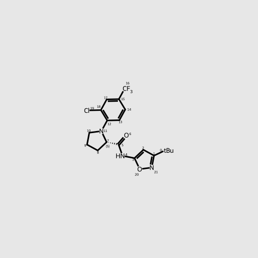 CC(C)(C)c1cc(NC(=O)[C@@H]2CCCN2c2ccc(C(F)(F)F)cc2Cl)on1